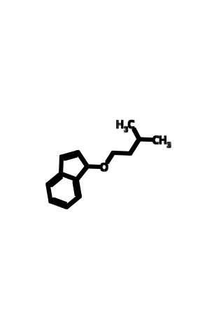 CC(C)CCOC1C=Cc2ccccc21